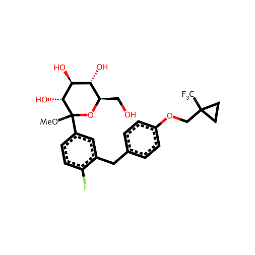 COC1(c2ccc(F)c(Cc3ccc(OCC4(C(F)(F)F)CC4)cc3)c2)O[C@H](CO)[C@@H](O)[C@H](O)[C@H]1O